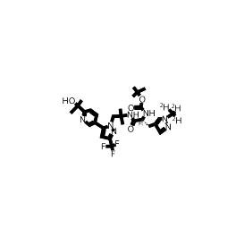 [2H]C([2H])([2H])n1cc(C[C@@H](NC(=O)OC(C)(C)C)C(=O)NC(C)(C)Cn2nc(C(F)(F)F)cc2-c2ccc(C(C)(C)O)nc2)cn1